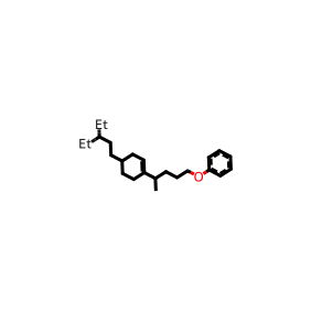 CCC(CC)CCC1CC=C(C(C)CCCOc2ccccc2)CC1